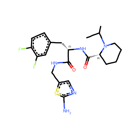 CC(C)N1CCCC[C@@H]1C(=O)N[C@@H](Cc1ccc(F)c(F)c1)C(=O)NCc1cnc(N)s1